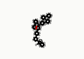 Cc1c(-c2cccc(-c3ccc(-c4ccc(N(c5ccc(-c6ccccc6-c6ccccc6-c6ccccc6)cc5)c5ccccc5-c5ccccc5)cc4)cc3)c2)oc2ccccc12